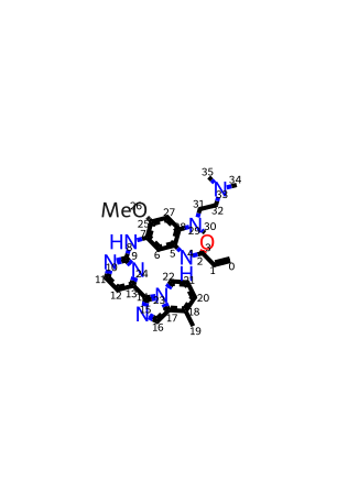 C=CC(=O)Nc1cc(Nc2nccc(-c3ncc4c(C)cccn34)n2)c(OC)cc1N(C)CCN(C)C